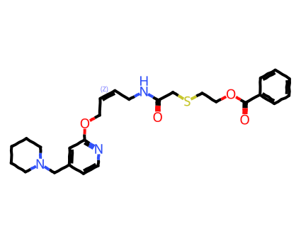 O=C(CSCCOC(=O)c1ccccc1)NC/C=C\COc1cc(CN2CCCCC2)ccn1